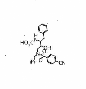 CC(C)CN(C[C@H](O)[C@H](Cc1ccccc1)NC(=O)O)S(=O)(=O)c1ccc(C#N)cc1